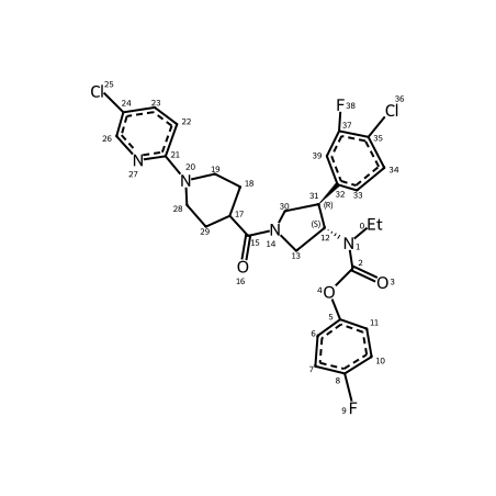 CCN(C(=O)Oc1ccc(F)cc1)[C@@H]1CN(C(=O)C2CCN(c3ccc(Cl)cn3)CC2)C[C@H]1c1ccc(Cl)c(F)c1